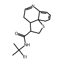 CCC(C)(C)NC(=O)C1CSC23CC=CC=C2N=CCC13